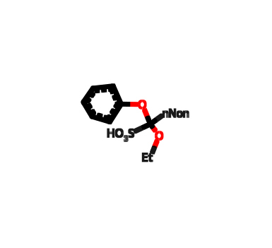 CCCCCCCCCC(OCC)(Oc1ccccc1)S(=O)(=O)O